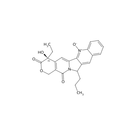 CCCC1c2cc3ccccc3[n+]([O-])c2-c2cc3c(c(=O)n21)COC(=O)[C@]3(O)CC